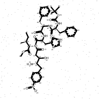 CC[C@H](C)[C@@H](C(=O)OC)N(C(=O)CC(O)[C@@H](N)Cc1ccc([N+](=O)[O-])cc1)C(=O)[C@H](Cc1c[nH]cn1)NC(=O)[C@H](Cc1ccccc1)NC(=O)[C@H](Cc1ccccc1)NC(=O)OC(C)(C)C